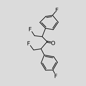 O=C(C(CF)c1ccc(F)cc1)C(CF)c1ccc(F)cc1